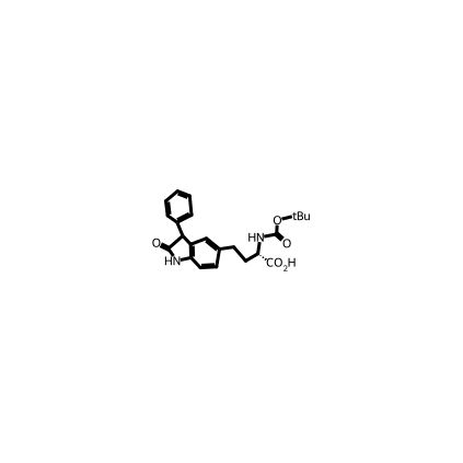 CC(C)(C)OC(=O)N[C@@H](CCc1ccc2c(c1)C(c1ccccc1)C(=O)N2)C(=O)O